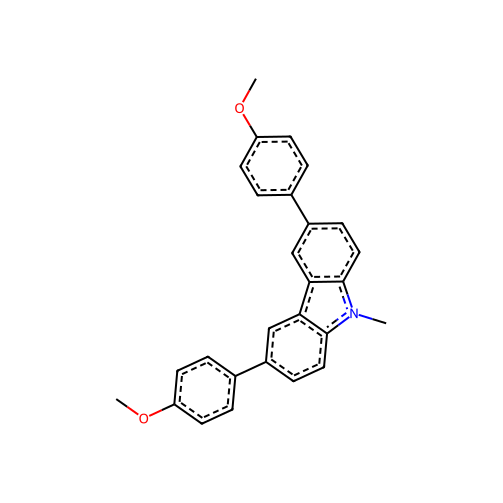 COc1ccc(-c2ccc3c(c2)c2cc(-c4ccc(OC)cc4)ccc2n3C)cc1